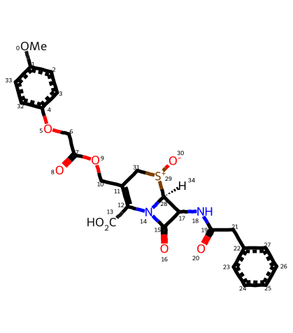 COc1ccc(OCC(=O)OCC2=C(C(=O)O)N3C(=O)C(NC(=O)Cc4ccccc4)[C@@H]3[S+]([O-])C2)cc1